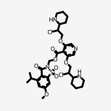 COc1cc(C(C)C)c2c(c1)S(=O)(=O)N(COC(=O)c1c(OCC(Cl)C3CCCCN3)cncc1OCC(Cl)C1CCCCN1)C2=O